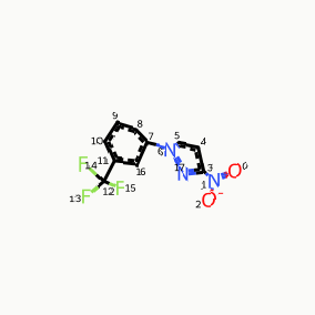 O=[N+]([O-])c1ccn(-c2cccc(C(F)(F)F)c2)n1